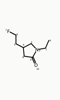 CCN1CC(CCF)CC1=O